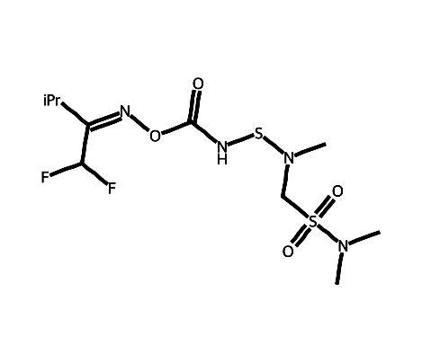 CC(C)C(=NOC(=O)NSN(C)CS(=O)(=O)N(C)C)C(F)F